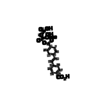 COP(=O)(OC(=O)c1ccc(C=Cc2ccc(C(=O)O)cc2)cc1)OP(=O)(O)O